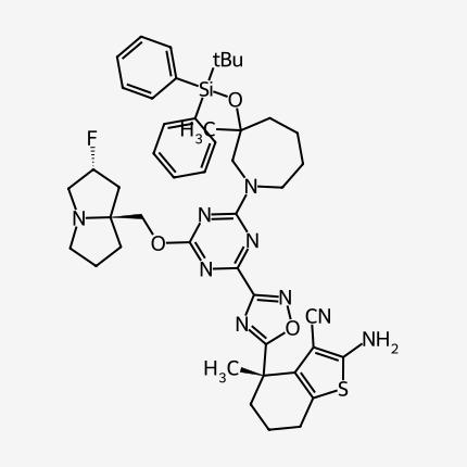 CC1(O[Si](c2ccccc2)(c2ccccc2)C(C)(C)C)CCCCN(c2nc(OC[C@@]34CCCN3C[C@H](F)C4)nc(-c3noc([C@@]4(C)CCCc5sc(N)c(C#N)c54)n3)n2)C1